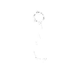 CCC(COCCOCc1ccccc1)OC